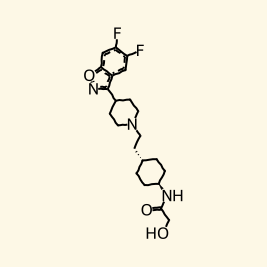 O=C(CO)N[C@H]1CC[C@H](CCN2CCC(c3noc4cc(F)c(F)cc34)CC2)CC1